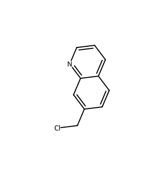 ClCc1ccc2cccnc2c1